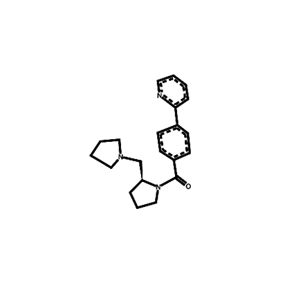 O=C(c1ccc(-c2ccccn2)cc1)N1CCC[C@H]1CN1CCCC1